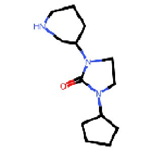 O=C1N(C2CCCC2)CCN1C1CCCNC1